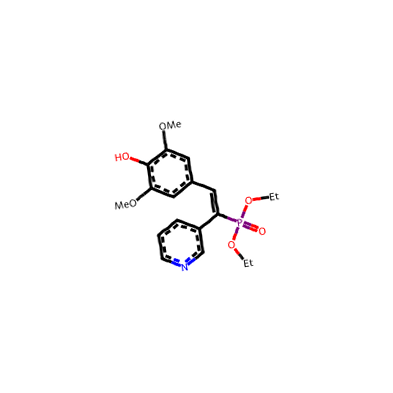 CCOP(=O)(OCC)/C(=C/c1cc(OC)c(O)c(OC)c1)c1cccnc1